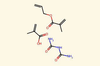 C=C(C)C(=O)O.C=CCOC(=O)C(=C)C.NC(=O)NC(N)=O